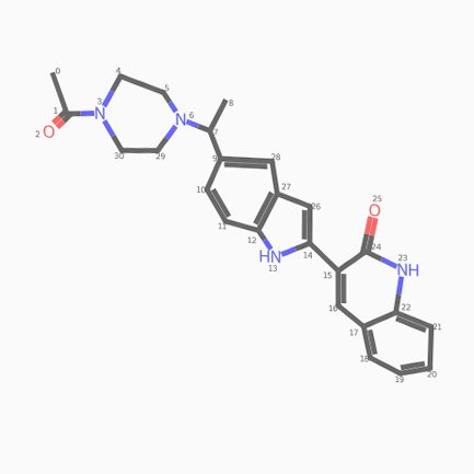 CC(=O)N1CCN(C(C)c2ccc3[nH]c(-c4cc5ccccc5[nH]c4=O)cc3c2)CC1